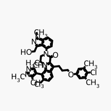 Cc1cc(OCCCc2c3n(c4c(-c5c(C)nn(C)c5C)c(Cl)ccc24)[C@H](C)CN(c2cccc4c2c(CO)nn4C)C3=O)cc(C)c1Cl